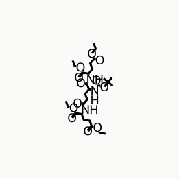 CCOC(=O)CCC(NC(=O)CCC(NC(=O)OC(C)(C)C)C(=O)NC(CCC(=O)OCC)C(=O)OCC)C(=O)OCC